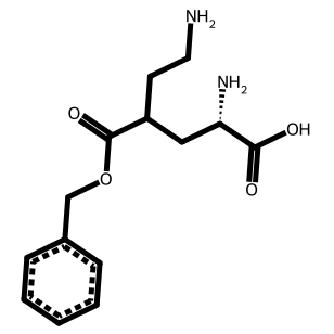 NCCC(C[C@H](N)C(=O)O)C(=O)OCc1ccccc1